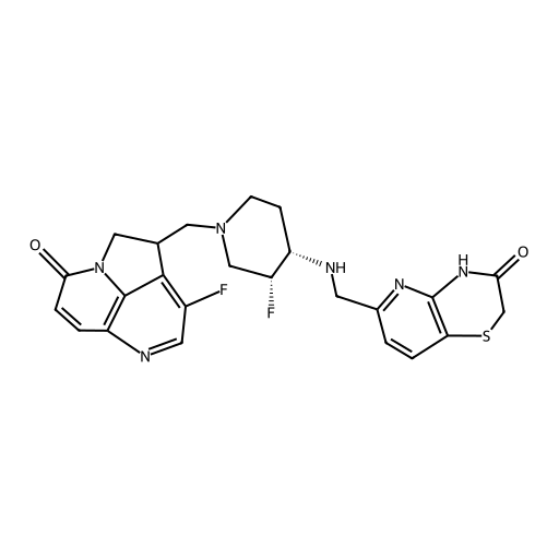 O=C1CSc2ccc(CN[C@H]3CCN(CC4Cn5c(=O)ccc6ncc(F)c4c65)C[C@H]3F)nc2N1